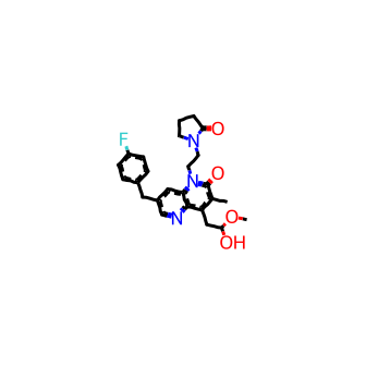 COC(O)Cc1c(C)c(=O)n(CCN2CCCC2=O)c2cc(Cc3ccc(F)cc3)cnc12